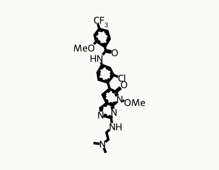 COc1cc(C(F)(F)F)ccc1C(=O)Nc1ccc(-c2cc3cnc(NCCN(C)C)nc3n(OC)c2=O)c(Cl)c1